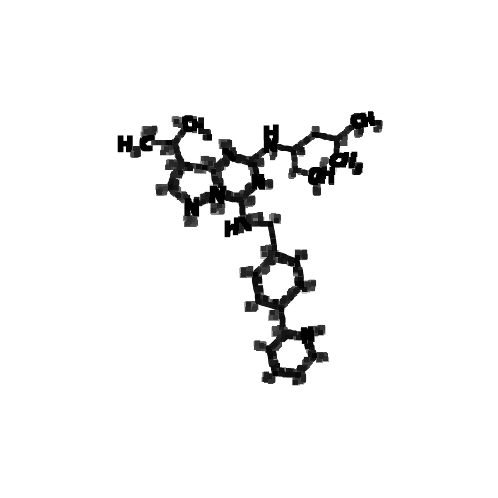 CC(C)CC(CO)Nc1nc(NCc2ccc(-c3ccccn3)cc2)n2ncc(C(C)C)c2n1